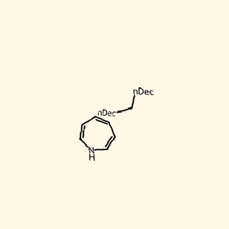 C1=CC=CNC=C1.CCCCCCCCCCCCCCCCCCCCC